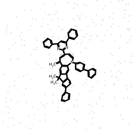 C=C1/C=C(c2nc(-c3ccccc3)cc(-c3ccccc3)n2)\C=C/N(c2ccc(-c3ccccc3)cc2)c2cc3c(cc21)C(C)(C)c1cc(-c2ccccc2)ccc1-3